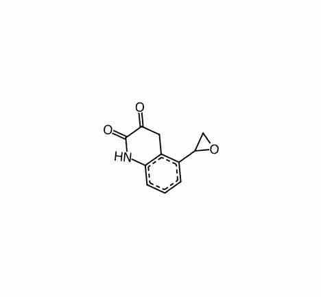 O=C1Cc2c(cccc2C2CO2)NC1=O